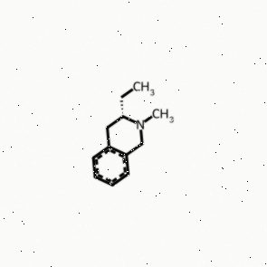 CC[C@H]1Cc2ccccc2CN1C